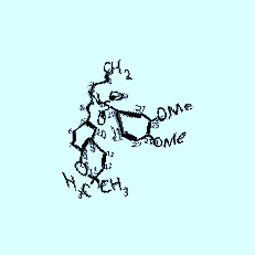 C=CCN(Cc1ccc2c(c1)C=CC(C)(C)O2)S(=O)(=O)c1ccc(OC)c(OC)c1